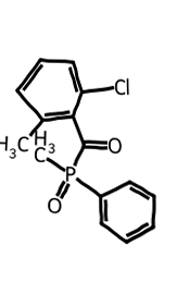 Cc1cccc(Cl)c1C(=O)P(C)(=O)c1ccccc1